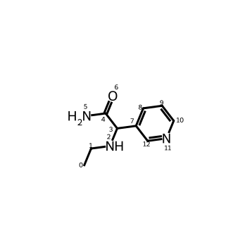 CCNC(C(N)=O)c1cccnc1